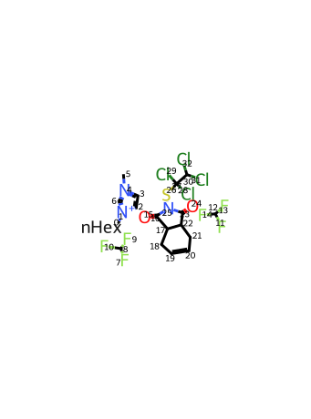 CCCCCC[n+]1ccn(C)c1.FC(F)F.FC(F)F.O=C1C2CC=CCC2C(=O)N1SC(Cl)(Cl)C(Cl)Cl